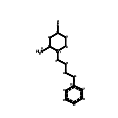 NC1C[C](F)CCN1CCCCc1ccccc1